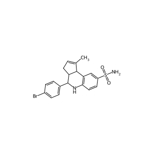 CC1=CCC2C(c3ccc(Br)cc3)Nc3ccc(S(N)(=O)=O)cc3C12